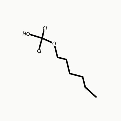 CCCCCCOC(O)(Cl)Cl